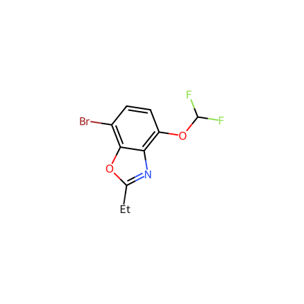 CCc1nc2c(OC(F)F)ccc(Br)c2o1